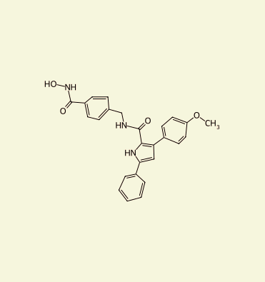 COc1ccc(-c2cc(-c3ccccc3)[nH]c2C(=O)NCc2ccc(C(=O)NO)cc2)cc1